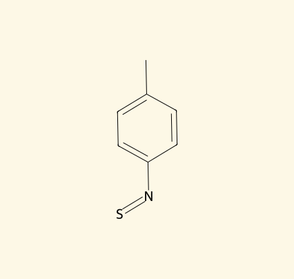 Cc1ccc(N=S)cc1